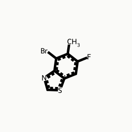 Cc1c(F)cc2scnc2c1Br